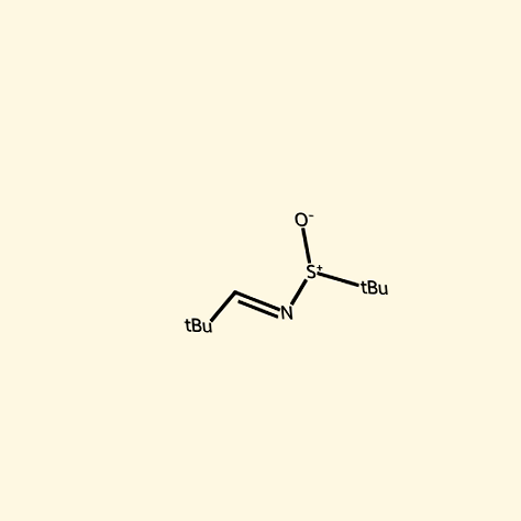 CC(C)(C)C=N[S+]([O-])C(C)(C)C